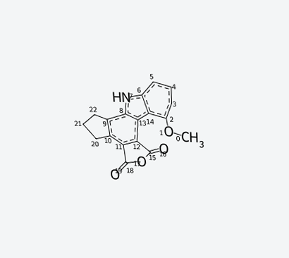 COc1cccc2[nH]c3c4c(c5c(c3c12)C(=O)OC5=O)CCC4